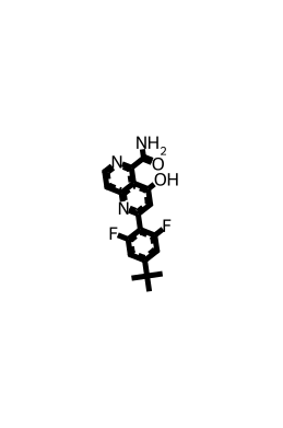 CC(C)(C)c1cc(F)c(-c2cc(O)c3c(C(N)=O)nccc3n2)c(F)c1